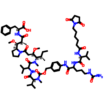 CC[C@H](C)[C@@H]([C@@H](CC(=O)N1CCC[C@H]1[C@H](OC)[C@@H](C)C(=O)N[C@@H](Cc1ccccc1)C(=O)O)OC)N(C)C(=O)C(NC(=O)[C@H](C(C)C)N(C)C(=O)OCc1ccc(NC(=O)C(CCCNC(N)=O)NC(=O)[C@@H](NC(=O)CCCCCN2C(=O)CCC2=O)C(C)C)cc1)C(C)C